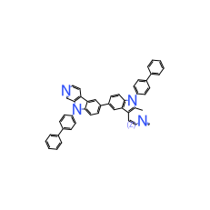 C=N/C=C\c1c(C)n(-c2ccc(-c3ccccc3)cc2)c2ccc(-c3ccc4c(c3)c3ccncc3n4-c3ccc(-c4ccccc4)cc3)cc12